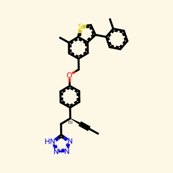 CC#C[C@@H](Cc1nnn[nH]1)c1ccc(OCc2cc(C)c3scc(-c4ccccc4C)c3c2)cc1